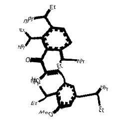 CCCC(CC)c1cc(C=C(O)C(=O)c2c(C(CC)CCC)ccc(C(CC)CCC)c2C(CC)CCC)c(C(CC)CCC)c(OC)c1